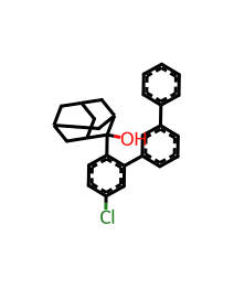 OC1(c2ccc(Cl)cc2-c2cccc(-c3ccccc3)c2)C2CC3CC(C2)CC1C3